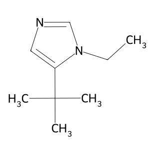 CCn1cncc1C(C)(C)C